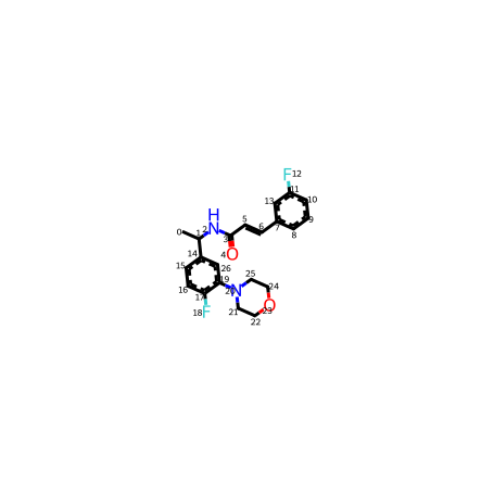 CC(NC(=O)C=Cc1cccc(F)c1)c1ccc(F)c(N2CCOCC2)c1